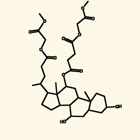 COC(=O)COC(=O)CCC(=O)OC1CC2C(C(O)CC3CC(O)CCC32C)C2CCC(C(C)CCC(=O)OCC(=O)OC)C12C